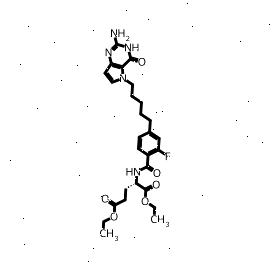 CCOC(=O)CC[C@H](NC(=O)c1ccc(CCCCCn2ccc3nc(N)[nH]c(=O)c32)cc1F)C(=O)OCC